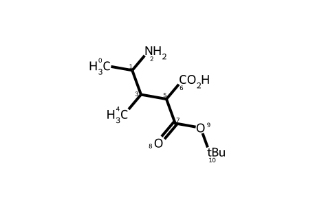 CC(N)C(C)C(C(=O)O)C(=O)OC(C)(C)C